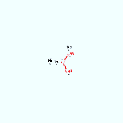 OOO.[Fe].[Ni].[Ru]